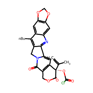 C=C(C)[C@@]1(OC(=O)Cl)C(=O)OCc2c1cc1n(c2=O)Cc2c-1nc1cc3c(cc1c2CCCC)OCO3